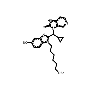 CC(=O)OCCCCCCn1c(C(C2CC2)n2c(=O)[nH]c3ccncc32)nc2cc(C#N)ccc21